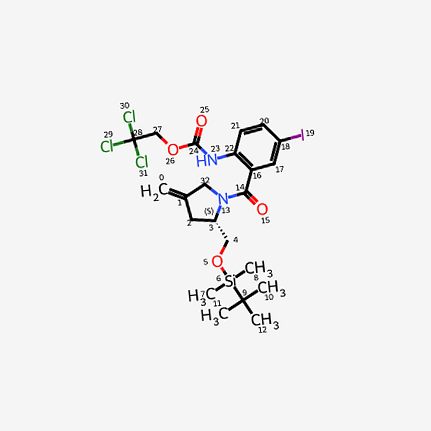 C=C1C[C@@H](CO[Si](C)(C)C(C)(C)C)N(C(=O)c2cc(I)ccc2NC(=O)OCC(Cl)(Cl)Cl)C1